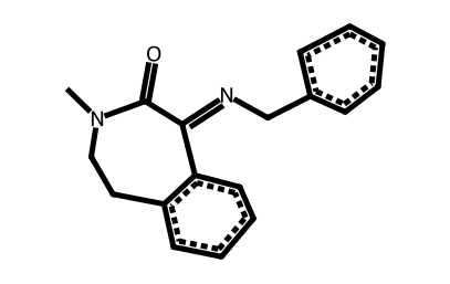 CN1CCc2ccccc2/C(=N\Cc2ccccc2)C1=O